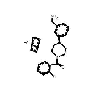 CCc1ccccc1C(=O)N1CCC(c2cccc(CN)c2)CC1.Cl.c1cc2ccc1-2